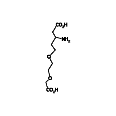 NC(CCOCCOCC(=O)O)CC(=O)O